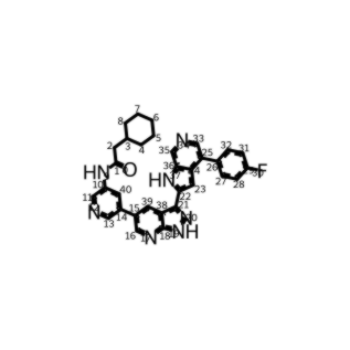 O=C(CC1CCCCC1)Nc1cncc(-c2cnc3[nH]nc(-c4cc5c(-c6ccc(F)cc6)cncc5[nH]4)c3c2)c1